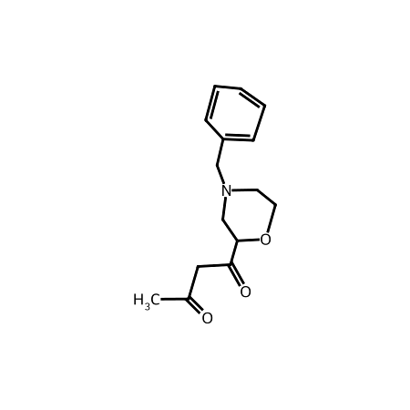 CC(=O)CC(=O)C1CN(Cc2ccccc2)CCO1